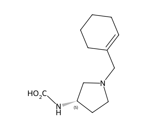 O=C(O)N[C@H]1CCN(CC2=CCCCC2)C1